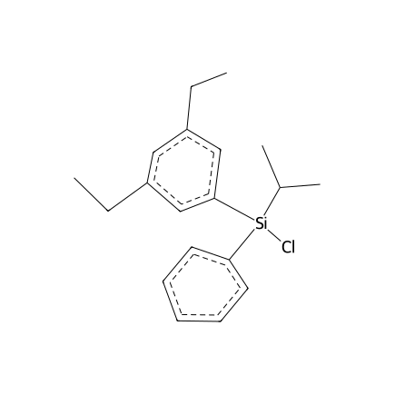 CCc1cc(CC)cc([Si](Cl)(c2ccccc2)C(C)C)c1